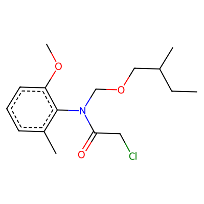 CCC(C)COCN(C(=O)CCl)c1c(C)cccc1OC